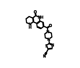 N#Cc1cnc(N2CCN(C(=O)c3ccc4c5c(c(=O)[nH]c4c3)CCCN5)CC2)s1